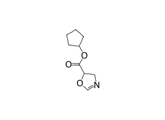 O=C(OC1CCCC1)C1CN=CO1